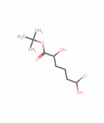 CC(C)(C)OC(=O)C(O)CCCC(O)Cl